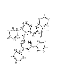 CC1(C)c2ccccc2-n2c1cc1c2ccc2c3ccccc3n(-c3nc(-c4ccccc4)cc(-c4ccccc4)n3)c21